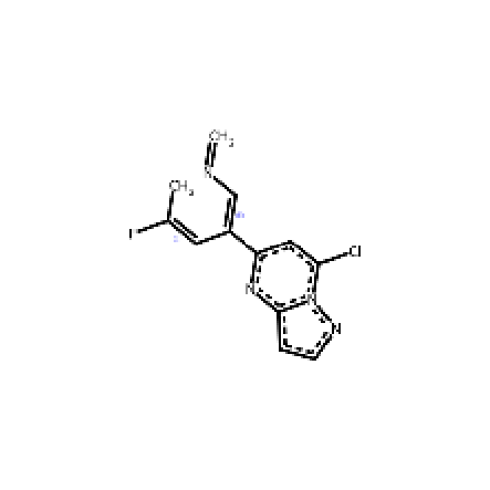 C=N/C=C(\C=C(/C)F)c1cc(Cl)n2nccc2n1